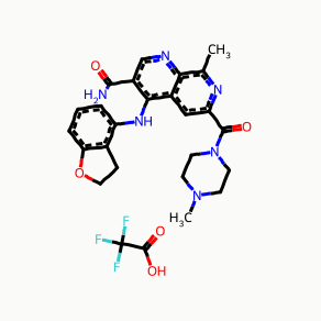 Cc1nc(C(=O)N2CCN(C)CC2)cc2c(Nc3cccc4c3CCO4)c(C(N)=O)cnc12.O=C(O)C(F)(F)F